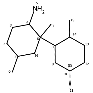 CC1CCC(N)C(C)(C2C[C@@H](C)CCC2C)C1